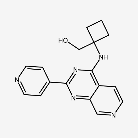 OCC1(Nc2nc(-c3ccncc3)nc3cnccc23)CCC1